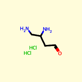 Cl.Cl.NCC(N)CC=O